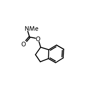 CNC(=O)OC1CCc2ccccc21